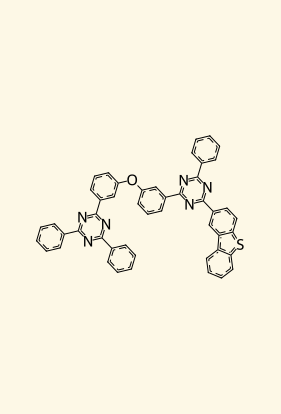 c1ccc(-c2nc(-c3ccccc3)nc(-c3cccc(Oc4cccc(-c5nc(-c6ccccc6)nc(-c6ccc7sc8ccccc8c7c6)n5)c4)c3)n2)cc1